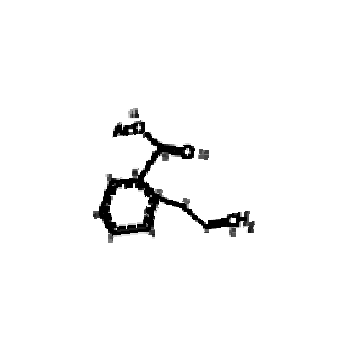 C=CCc1ccccc1C(=O)OC(C)=O